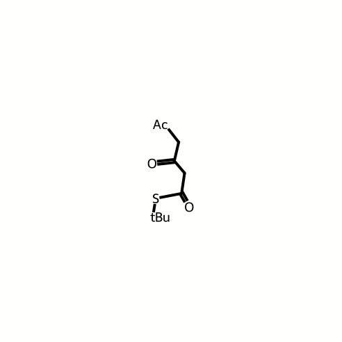 CC(=O)CC(=O)CC(=O)SC(C)(C)C